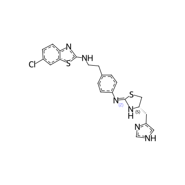 Clc1ccc2nc(NCCc3ccc(/N=C4/N[C@@H](Cc5c[nH]cn5)CS4)cc3)sc2c1